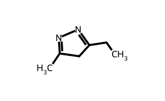 CCC1=NN=C(C)C1